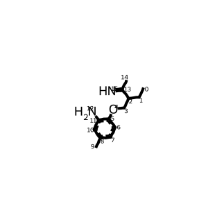 CCC(COc1ccc(C)cc1N)C(C)=N